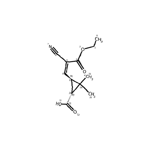 CCOC(=O)C(C#N)=C[C@@H]1[C@@H](C(=O)O)C1(C)C